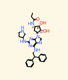 CCC(=O)N[C@H]1C[C@@H](n2cnc3c(NCC(c4ccccc4)c4ccccc4)nc(NC4CCNC4)nc32)[C@H](O)[C@@H]1O